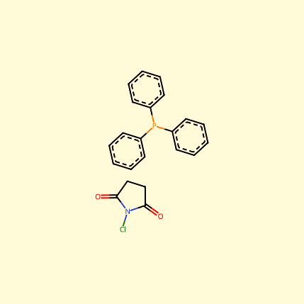 O=C1CCC(=O)N1Cl.c1ccc(P(c2ccccc2)c2ccccc2)cc1